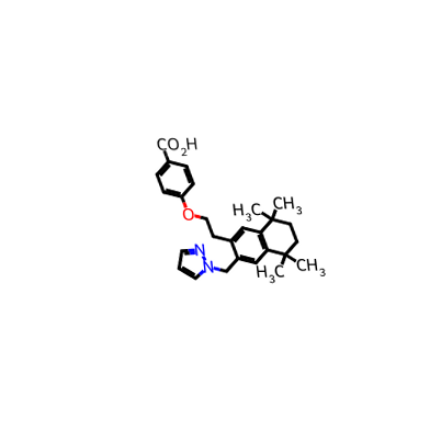 CC1(C)CCC(C)(C)c2cc(Cn3cccn3)c(CCOc3ccc(C(=O)O)cc3)cc21